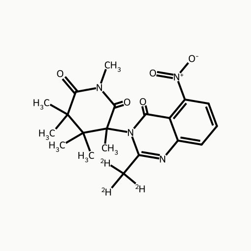 [2H]C([2H])([2H])c1nc2cccc([N+](=O)[O-])c2c(=O)n1C1(C)C(=O)N(C)C(=O)C(C)(C)C1(C)C